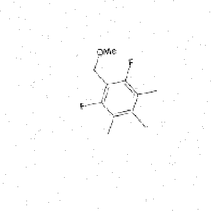 [CH2]c1c(C)c(F)c(COC)c(F)c1C